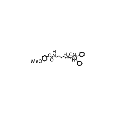 COc1ccc(OC(=O)NCCCCCCCC2(C)N=C(c3ccccc3)C(c3ccccc3)=N2)cc1